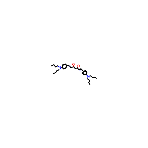 CCCCN(CCCC)c1ccc(/C=C/C(=O)CC(=O)/C=C/c2ccc(N(CCCC)CCCC)cc2)cc1